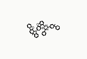 CC1(C2=CC=CCC2)C=CC(C2=NC(c3cccc4oc5c(c34)CCC(N3c4ccccc4C4(C)C=CC6=C(OC7C=CC=CC67)C34)=C5)NC(c3ccccc3)=N2)=CC1